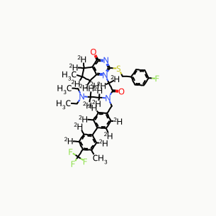 [2H]c1c([2H])c(-c2c([2H])c([2H])c(C(F)(F)F)c(C)c2[2H])c([2H])c([2H])c1CN(C(=O)C([2H])([2H])n1c(SCc2ccc(F)cc2)nc(=O)c2c1C([2H])([2H])C([2H])(C)C2([2H])[2H])C([2H])([2H])C([2H])([2H])N(CC)CC